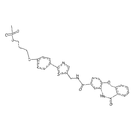 CS(=O)(=O)OCCCOc1ccc(-c2ncc(CNC(=O)c3ccc4c(c3)NC(=O)c3ccccc3O4)s2)cc1